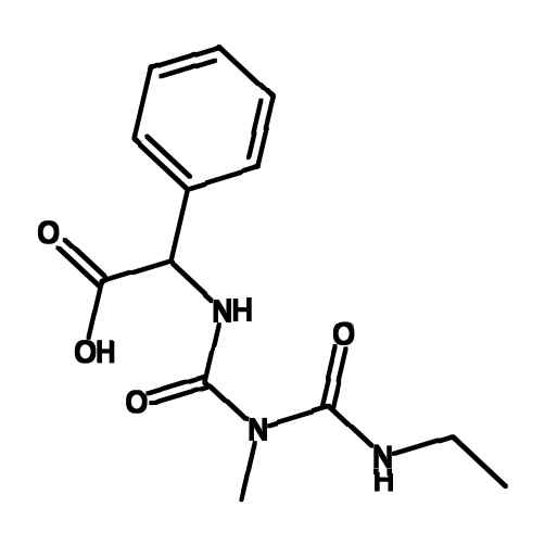 CCNC(=O)N(C)C(=O)NC(C(=O)O)c1ccccc1